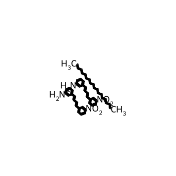 CCCCCCCCCCCCCCCCCCCC.Nc1cccc(/C=C/C=C/c2cccc([N+](=O)[O-])c2)c1.Nc1cccc(/C=C/C=C/c2cccc([N+](=O)[O-])c2)c1